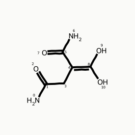 NC(=O)CC(C(N)=O)=C(O)O